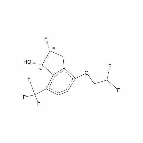 O[C@H]1c2c(C(F)(F)F)ccc(OCC(F)F)c2C[C@H]1F